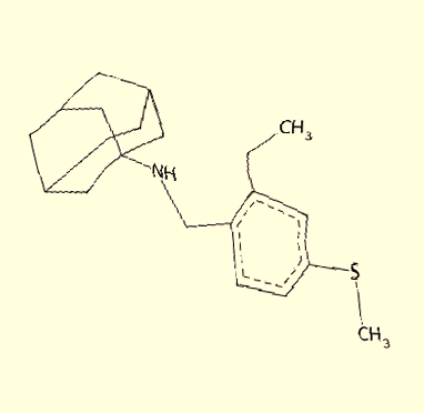 CCc1cc(SC)ccc1CNC12CC3CC(CC(C3)C1)C2